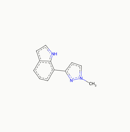 Cn1ccc(-c2cccc3cc[nH]c23)n1